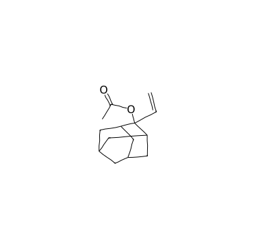 C=CC1(OC(C)=O)C2CC3CC(C2)CC1C3